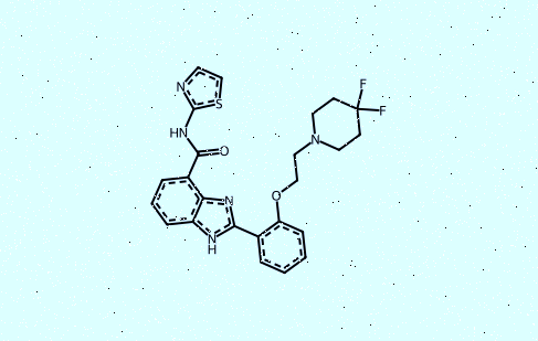 O=C(Nc1nccs1)c1cccc2[nH]c(-c3ccccc3OCCN3CCC(F)(F)CC3)nc12